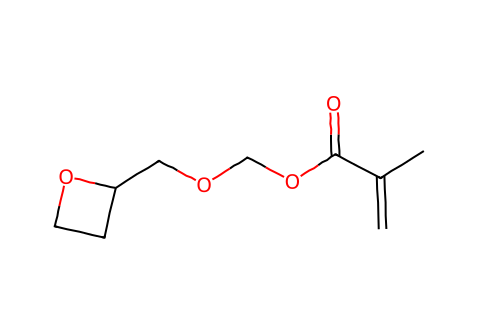 C=C(C)C(=O)OCOCC1CCO1